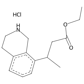 CCOC(=O)CC(C)c1cccc2c1CNCC2.Cl